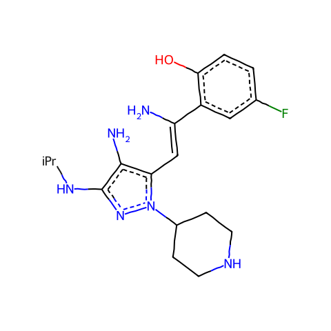 CC(C)Nc1nn(C2CCNCC2)c(/C=C(\N)c2cc(F)ccc2O)c1N